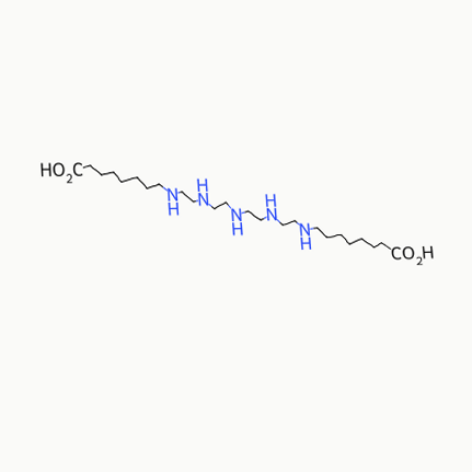 O=C(O)CCCCCCCNCCNCCNCCNCCNCCCCCCCC(=O)O